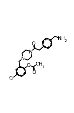 CC(=O)Oc1ccc(Cl)cc1CN1CCN(C(=O)Cc2ccc(CN)cc2)CC1